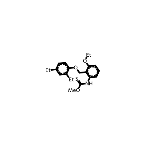 CCOc1cccc(NC(=S)OC)c1COc1ccc(CC)cc1CC